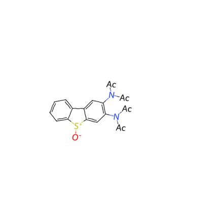 CC(=O)N(C(C)=O)c1cc2c3ccccc3[s+]([O-])c2cc1N(C(C)=O)C(C)=O